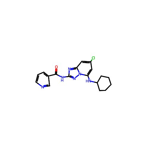 O=C(Nc1nc2cc(Cl)cc(NC3CCCCC3)n2n1)c1cccnc1